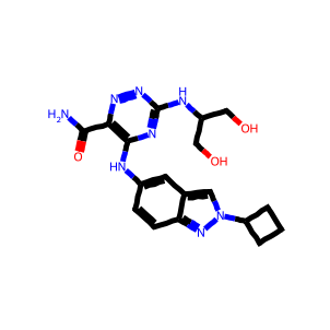 NC(=O)c1nnc(NC(CO)CO)nc1Nc1ccc2nn(C3CCC3)cc2c1